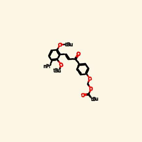 CCCc1ccc(OC(C)(C)C)c(C=CC(=O)c2ccc(OCOC(=O)C(C)(C)C)cc2)c1OC(C)(C)C